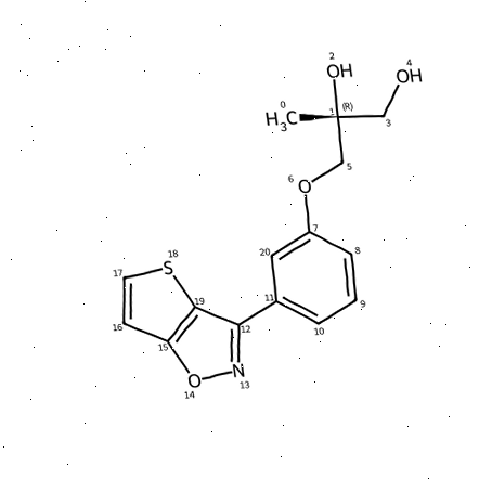 C[C@@](O)(CO)COc1cccc(-c2noc3ccsc23)c1